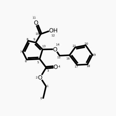 CCOC(=O)c1cccc(C(=O)O)c1OCc1ccccc1